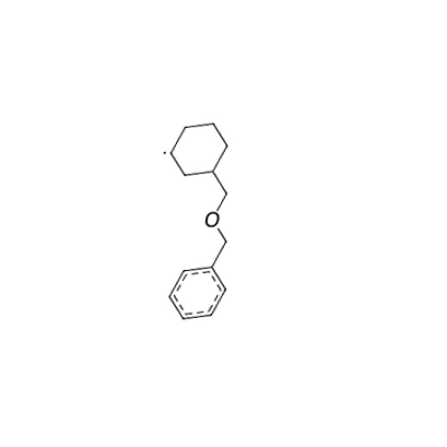 [CH]1CCCC(COCc2ccccc2)C1